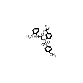 Cc1ccc(S(=O)(=O)N(CC(=O)Nc2ccccc2N)c2cccc(C(F)(F)F)c2)cc1